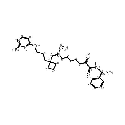 C[C@@H](NC(=O)C(=O)CCCCCN(CC1(CCCOc2ccnc(Cl)n2)CCC1)C(=O)O)c1ccccc1